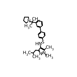 Cc1c(NSc2ccc(-c3cccc(C(C)(C)N4CCCC4)c3)cc2)c(CC(C)C)nn1C